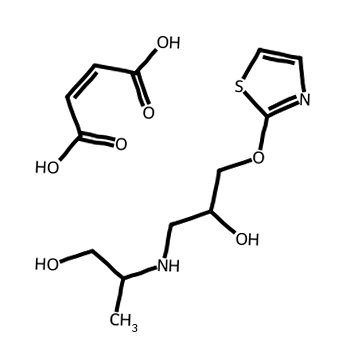 CC(CO)NCC(O)COc1nccs1.O=C(O)/C=C\C(=O)O